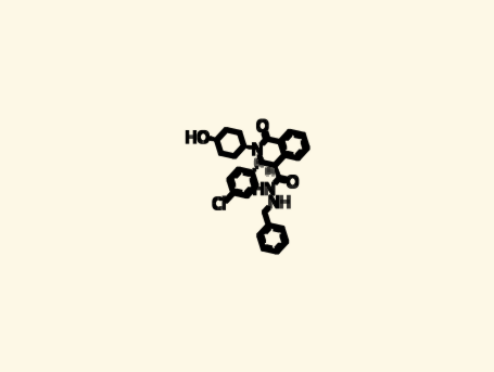 O=C(NNCc1ccccc1)[C@@H]1c2ccccc2C(=O)N([C@H]2CC[C@H](O)CC2)[C@H]1c1ccc(Cl)cc1